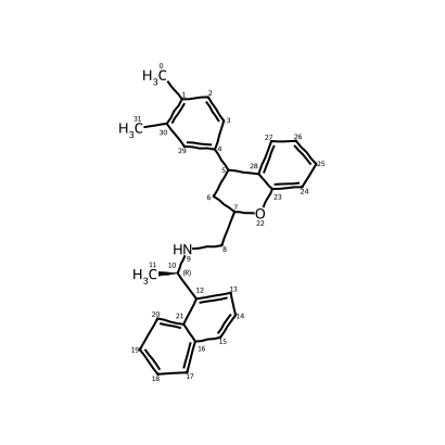 Cc1ccc(C2CC(CN[C@H](C)c3cccc4ccccc34)Oc3ccccc32)cc1C